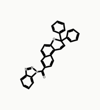 O=C(c1ccc2c3c(ccc2c1)OC(c1ccccc1)(c1ccccc1)C=C3)n1nnc2ccccc21